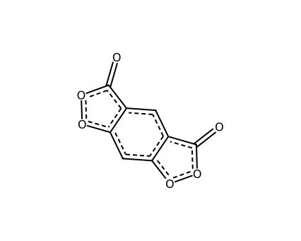 O=c1ooc2cc3ooc(=O)c3cc12